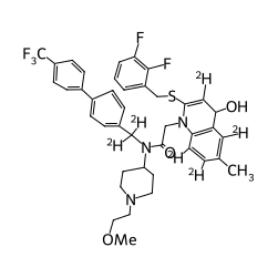 [2H]C1=C(SCc2cccc(F)c2F)N(CC(=O)N(C2CCN(CCOC)CC2)C([2H])([2H])c2ccc(-c3ccc(C(F)(F)F)cc3)cc2)c2c([2H])c([2H])c(C)c([2H])c2C1O